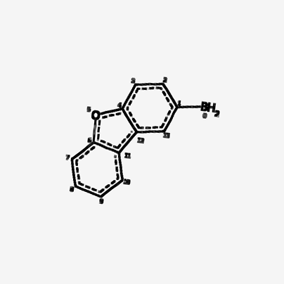 Bc1ccc2oc3ccccc3c2c1